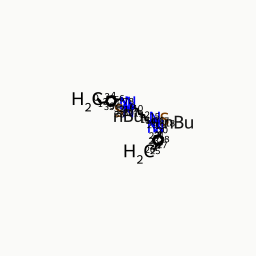 C=Cc1ccc(Cn2nc(CCCCc3nc(SCCCC)n(Cc4ccc(C=C)cc4)n3)nc2SCCCC)cc1